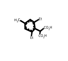 CCc1cc(C)cc(CC)c1C(C(=O)O)C(=O)O